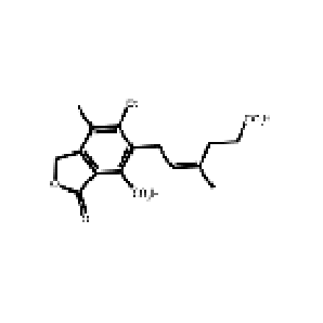 CCc1c(C)c2c(c(C(=O)O)c1CC=C(C)CCC(=O)O)C(=O)OC2